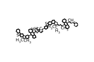 C=CC(/C=C\C(=C)c1ccc2c(c1)sc1cc3ccc4c(c3cc12)C(C)(C)/C(=C/C=C(\C)c1c2ccccc2c(/C(C)=C/C=C2/C=CC=CC2)c2ccccc12)C4)CC(=C)c1c2ccccc2c(-c2ccc3c(c2)-c2cc4c(cc2C3(C)C)sc2ccccc24)c2ccccc12